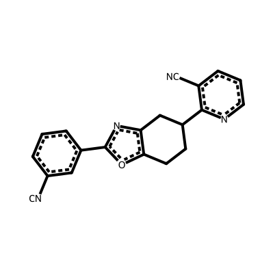 [C-]#[N+]c1cccc(-c2nc3c(o2)CCC(c2ncccc2C#N)C3)c1